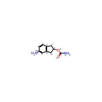 NC(=O)OC1Cc2ccc(N)cc2C1